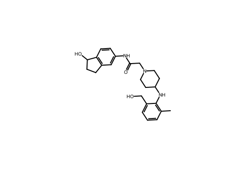 Cc1cccc(CO)c1NC1CCN(CC(=O)Nc2ccc3c(c2)CCC3O)CC1